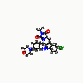 CC(C)N1C(=O)C2Cc3c([nH]c4ccc(Br)cc34)C(c3ccc(N4CCOCC4)cc3)N2C1=O